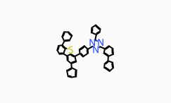 c1ccc(-c2cccc(-c3nc(-c4ccccc4)nc(-c4ccc(-c5cc(-c6ccccc6)cc6c5sc5c(-c7ccccc7)cccc56)cc4)n3)c2)cc1